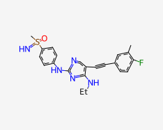 CCNc1nc(Nc2ccc(S(C)(=N)=O)cc2)ncc1C#Cc1ccc(F)c(C)c1